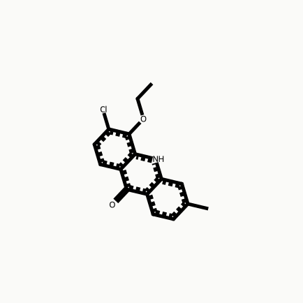 CCOc1c(Cl)ccc2c(=O)c3ccc(C)cc3[nH]c12